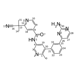 Cc1ncc(NC(=O)c2ccnc(C(C)(C)C#N)c2)cc1-c1cccc(-c2ccnc(N)n2)c1